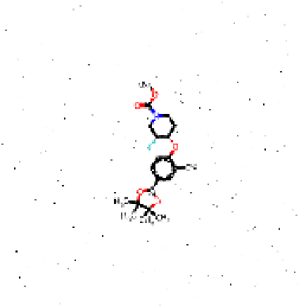 CC(C)(C)OC(=O)N1CC[C@H](Oc2ccc(B3OC(C)(C)C(C)(C)O3)cc2C#N)[C@@H](F)C1